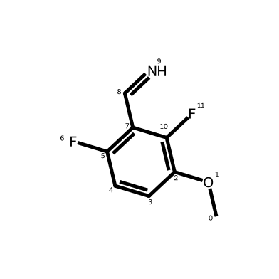 COc1ccc(F)c(C=N)c1F